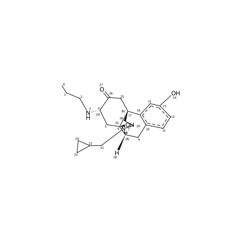 CCCN[C@H]1C[C@@]2(O)[C@H]3Cc4ccc(O)cc4[C@@]2(CCN3CC2CC2)CC1=O